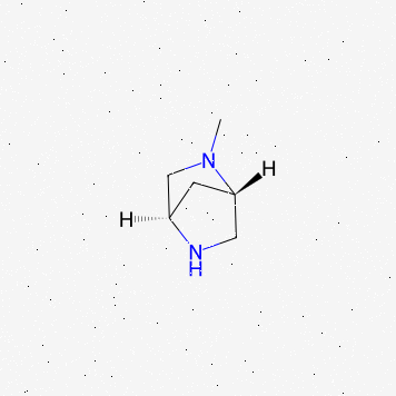 CN1C[C@H]2C[C@H]1CN2